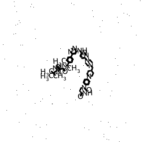 Cc1cc(-c2cc(Nc3ccc(N4CCN(CC5CCN(c6ccc(N7CCC(=O)NC7=O)cc6)CC5)CC4)nn3)ncn2)ccc1[C@@H](C)NC(=O)c1nc(C(C)(C)C)no1